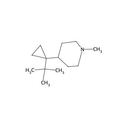 CN1CCC(C2(C(C)(C)C)CC2)CC1